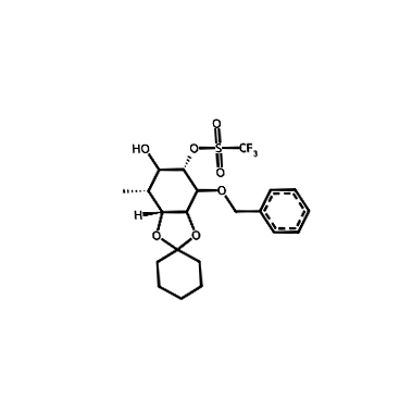 C[C@@H]1C(O)[C@H](OS(=O)(=O)C(F)(F)F)C(OCc2ccccc2)C2OC3(CCCCC3)O[C@@H]21